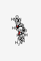 Nc1ncnc2c1ncn2[C@H]1[C@H](O)[C@@H]2O[PH](=O)OC[C@H]3O[C@@H](n4cnc5c(=O)[nH]cnc54)[C@H](F)[C@@H]3P(=O)(O)OCC23CC[C@H]13